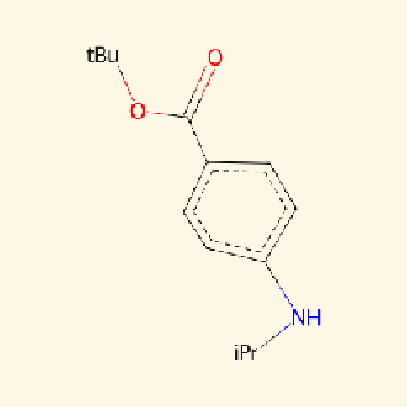 CC(C)Nc1ccc(C(=O)OC(C)(C)C)cc1